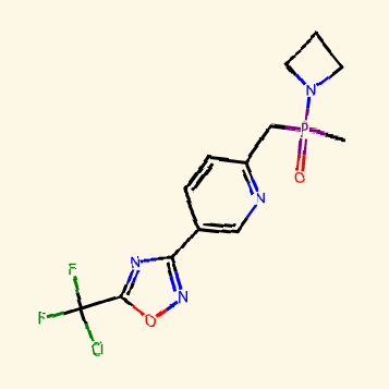 CP(=O)(Cc1ccc(-c2noc(C(F)(F)Cl)n2)cn1)N1CCC1